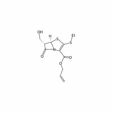 C=CCOC(=O)C1=C(SCC)S[C@@H]2[C@@H](CO)C(=O)N12